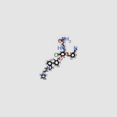 Cc1c(COc2cc(OCc3cccc(C#N)c3)c(CNCCCC(N)=O)cc2Cl)cccc1-c1cccc2c1CCN2CCCN1CCCC1